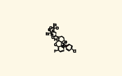 CCS(=O)(=O)N(CC(=O)N1CCC[C@]2(S(=O)(=O)c3ccc(Cl)cc3)c3c(F)ccc(F)c3OC[C@H]12)S(=O)(=O)CC